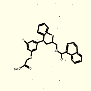 COC(=O)COc1cc(F)cc(C2CC(CN[C@H](C)c3cccc4ccccc34)Oc3ccccc32)c1